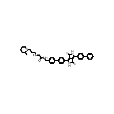 CC1CCCCN1CCCNCC(=O)NCc1ccc(-c2ccc(C3=C4C(=O)NC(c5ccc(-c6ccccc6)cc5)=C4C(=O)N3)cc2)cc1